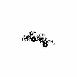 CC(C)c1ccccc1-c1ncc2c(n1)n(Cc1ccc(-c3nc(C(F)(F)F)cn3C3CNC3)cc1)c(=N)n2C